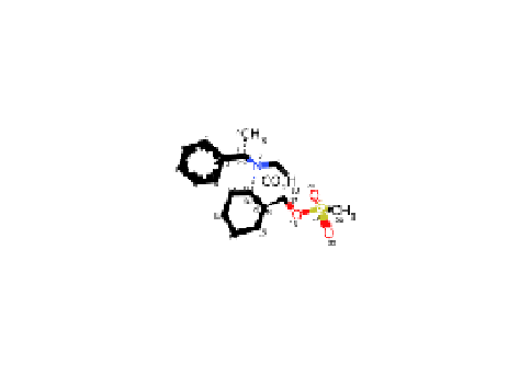 C[C@@H](c1ccccc1)N(CC(=O)O)[C@H]1CCCC[C@@H]1COS(C)(=O)=O